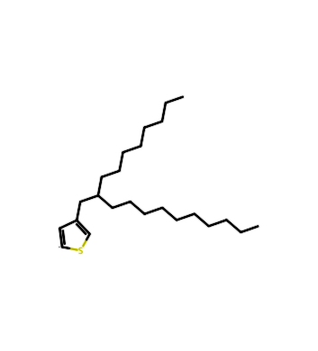 CCCCCCCCCCC(CCCCCCCC)Cc1c[c]sc1